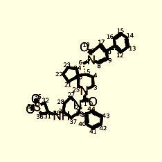 O=C(N1CC[C@@H](Cn2ccc(-c3ccccc3)cc2=O)C2(CCCC2)C1)N1CC[C@H](NC2CS(=O)(=O)C2)C[C@H]1c1ccccc1